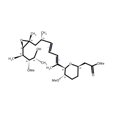 COC(=O)C[C@H]1CC[C@H](OC)[C@@H](/C(C)=C/C=C/[C@@H](C)C[C@@]2(C)O[C@@H]2[C@H](C)[C@@H](OC)[C@@H](C)O)O1